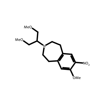 COCC(COC)N1CCc2cc(OC)c([N+](=O)[O-])cc2CC1